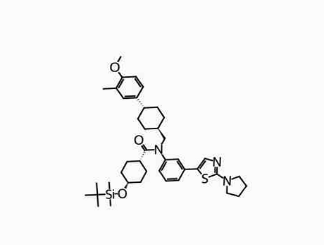 COc1ccc([C@H]2CC[C@H](CN(c3cccc(-c4cnc(N5CCCC5)s4)c3)C(=O)[C@H]3CC[C@H](O[Si](C)(C)C(C)(C)C)CC3)CC2)cc1C